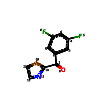 O=C(c1cc(F)cc(F)c1)c1nccs1